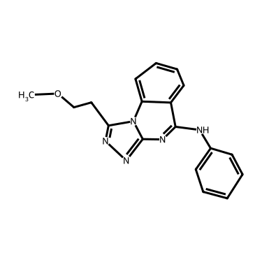 COCCc1nnc2nc(Nc3ccccc3)c3ccccc3n12